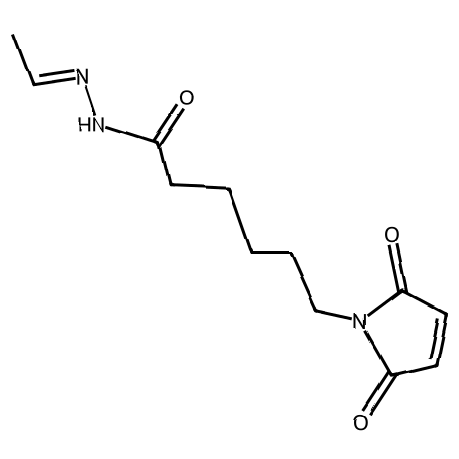 C/C=N/NC(=O)CCCCCN1C(=O)C=CC1=O